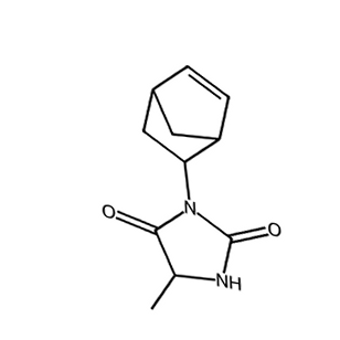 CC1NC(=O)N(C2CC3C=CC2C3)C1=O